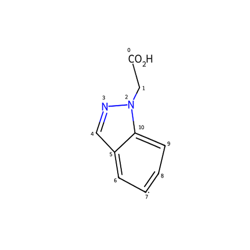 O=C(O)Cn1ncc2c[c]ccc21